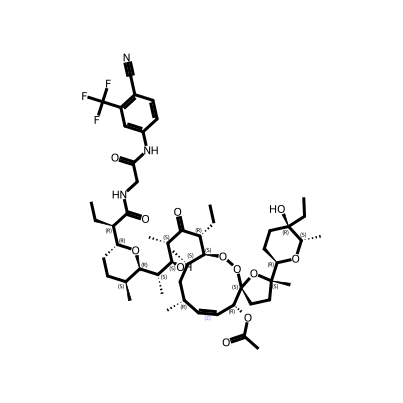 CC[C@@H](C(=O)[C@@H](C)[C@@H](O)[C@H](C)[C@@H]1O[C@@H]([C@@H](CC)C(=O)NCC(=O)Nc2ccc(C#N)c(C(F)(F)F)c2)CC[C@@H]1C)[C@H]1OO[C@@]2(CC[C@@](C)([C@H]3CC[C@](O)(CC)[C@H](C)O3)O2)[C@H](OC(C)=O)/C=C\[C@H](C)C[C@@H]1C